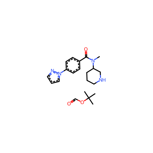 CC(C)(C)OC=O.CN(C(=O)c1ccc(-n2cccn2)cc1)C1CCCNC1